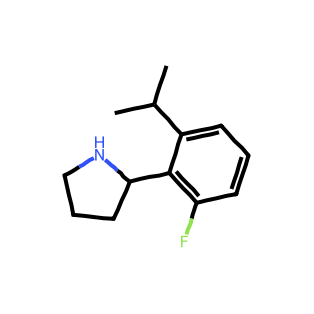 CC(C)c1cccc(F)c1C1CCCN1